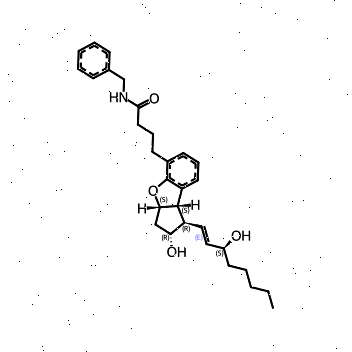 CCCCC[C@H](O)/C=C/[C@@H]1[C@H]2c3cccc(CCCC(=O)NCc4ccccc4)c3O[C@H]2C[C@H]1O